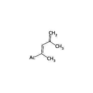 C=C(C)C=C(C)C(C)=O